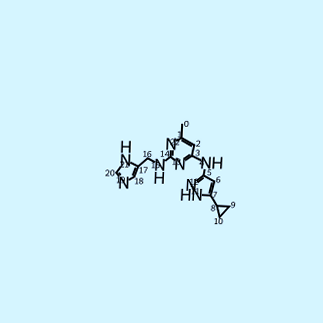 Cc1cc(Nc2cc(C3CC3)[nH]n2)nc(NCc2cnc[nH]2)n1